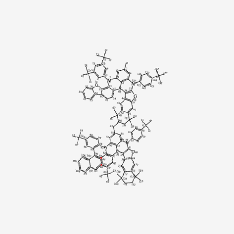 Cc1cc2c3c(c1)N(c1cc(C(C)(C)C)cc(C(C)(C)C)c1)c1c(ccc4c1oc1ccccc14)B3c1c(oc3cc4c(cc13)C(C)(C)C(Cc1cc3c5c(c1)N(c1ccc(C(C)(C)C)cc1)c1oc6cc7c(cc6c1B5c1cc(C(C)(C)C)ccc1N3c1ccc(C(C)(C)C)cc1-c1cccc3ccccc13)C(C)(C)CCC7(C)C)CC4(C)C)N2c1ccc(C(C)(C)C)cc1